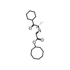 [CH2][C@H](N=CC(=O)OC1CCCCCCC1)C(=O)C1CCCCC1